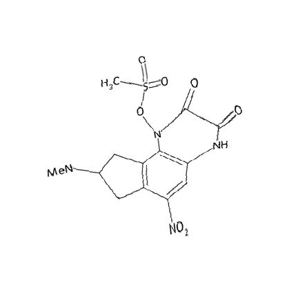 CNC1Cc2c([N+](=O)[O-])cc3[nH]c(=O)c(=O)n(OS(C)(=O)=O)c3c2C1